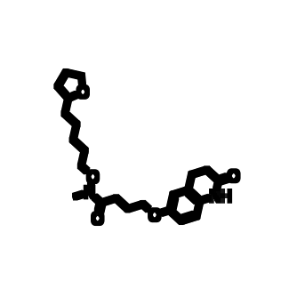 CN(OCCCCCC1CCCO1)C(=O)CCCOc1ccc2c(c1)CCC(=O)N2